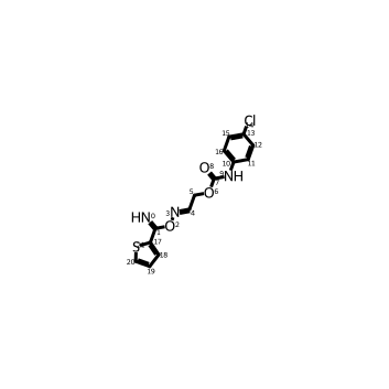 N=C(O/N=C/COC(=O)Nc1ccc(Cl)cc1)c1cccs1